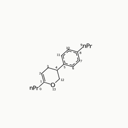 CCCC1=CCC(c2ccc(CCC)cc2)CO1